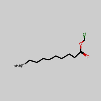 CCCCCCCCCCCCCCCC(=O)OCCl